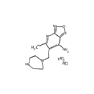 Cc1nc2nonc2c(N)c1CN1CCNCC1.Cl.Cl